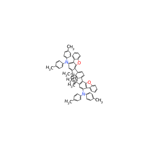 Cc1ccc(N(c2ccc(C)cc2)c2cc3c(c4oc5ccccc5c24)-c2ccc4c(c2[Si]3(C)C)[Si](C)(C)c2cc(N(c3ccc(C)cc3)c3ccc(C)cc3)c3c(oc5ccccc53)c2-4)cc1